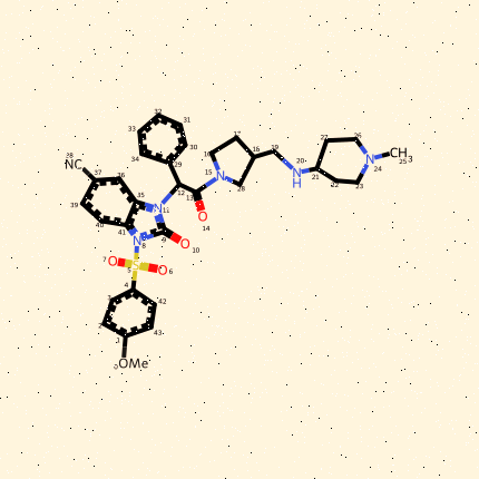 COc1ccc(S(=O)(=O)n2c(=O)n(C(C(=O)N3CCC(CNC4CCN(C)CC4)C3)c3ccccc3)c3cc(C#N)ccc32)cc1